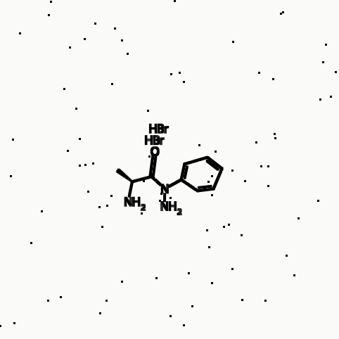 Br.Br.C[C@H](N)C(=O)N(N)c1ccccc1